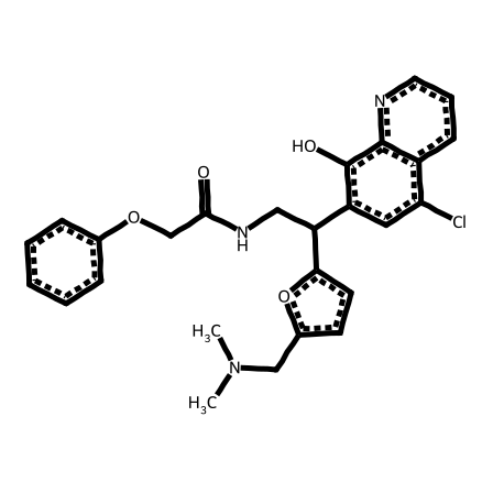 CN(C)Cc1ccc(C(CNC(=O)COc2ccccc2)c2cc(Cl)c3cccnc3c2O)o1